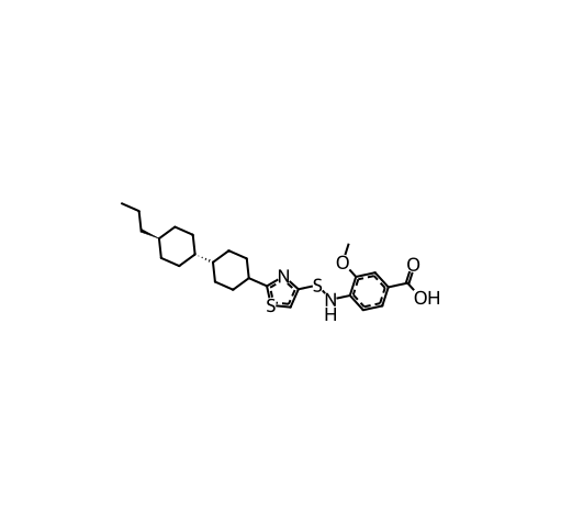 CCC[C@H]1CC[C@H](C2CCC(c3nc(SNc4ccc(C(=O)O)cc4OC)cs3)CC2)CC1